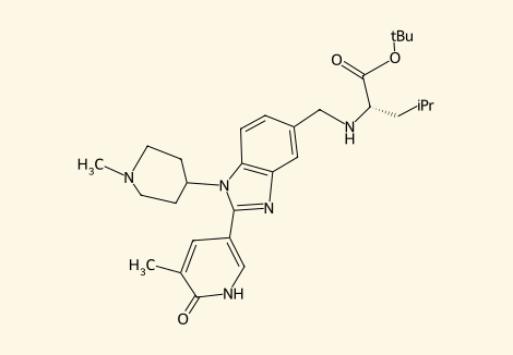 Cc1cc(-c2nc3cc(CN[C@@H](CC(C)C)C(=O)OC(C)(C)C)ccc3n2C2CCN(C)CC2)c[nH]c1=O